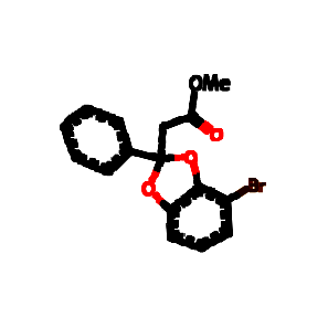 COC(=O)CC1(c2ccccc2)Oc2cccc(Br)c2O1